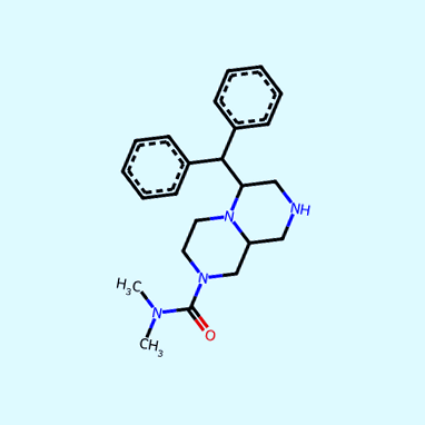 CN(C)C(=O)N1CCN2C(CNCC2C(c2ccccc2)c2ccccc2)C1